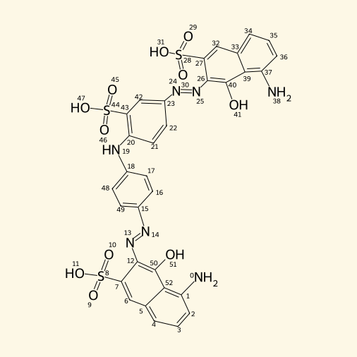 Nc1cccc2cc(S(=O)(=O)O)c(N=Nc3ccc(Nc4ccc(N=Nc5c(S(=O)(=O)O)cc6cccc(N)c6c5O)cc4S(=O)(=O)O)cc3)c(O)c12